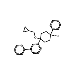 N#CC1(c2ccccc2)CCC(OCC2CC2)(c2cc(-c3ccccc3)ccn2)CC1